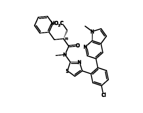 CN(C(=O)[C@@H](CC(=O)O)Cc1ccccc1)c1nc(-c2cc(Cl)ccc2-c2cnc3c(ccn3C)c2)cs1